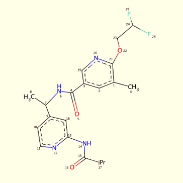 Cc1cc(C(=O)NC(C)c2ccnc(NC(=O)C(C)C)c2)cnc1OCC(F)F